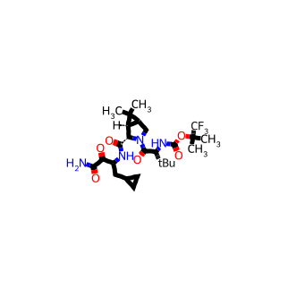 CC(C)(C)C(NC(=O)OC(C)(C)C(F)(F)F)C(=O)N1CC2[C@@H]([C@H]1C(=O)NC(CC1CC1)C(=O)C(N)=O)C2(C)C